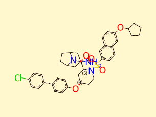 NC1CC2CCC(C1)N2C(=O)[C@@H]1C[C@H](Oc2ccc(-c3ccc(Cl)cc3)cc2)CCN1S(=O)(=O)c1ccc2cc(OC3CCCC3)ccc2c1